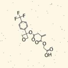 C=C(CC(=O)OC1(c2ccc(C(F)(F)F)cc2)COC1)C(=O)OCC(=O)O